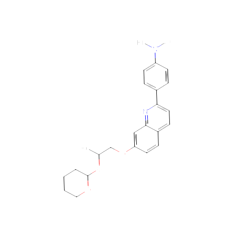 CCC(COc1ccc2ccc(-c3ccc(N(CC)CC)cc3)nc2c1)OC1CCCCO1